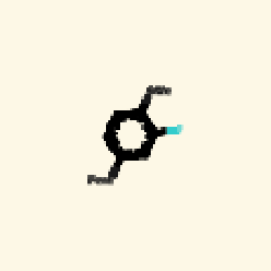 CCCC(C)c1ccc(OC)c(F)c1